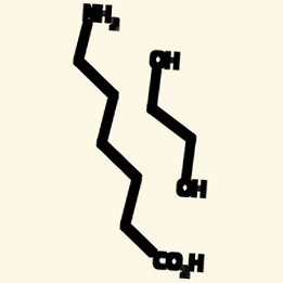 NCCCCCC(=O)O.OCCO